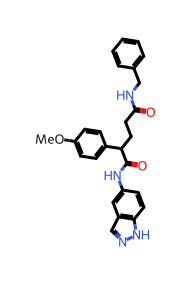 COc1ccc(C(CCC(=O)NCc2ccccc2)C(=O)Nc2ccc3[nH]ncc3c2)cc1